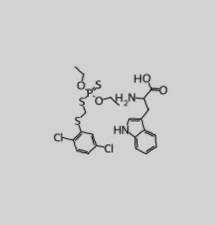 CCOP(=S)(OCC)SCSc1cc(Cl)ccc1Cl.NC(Cc1c[nH]c2ccccc12)C(=O)O